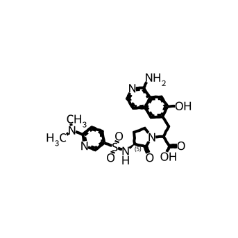 CN(C)c1ccc(S(=O)(=O)N[C@H]2CCN(C(Cc3cc4ccnc(N)c4cc3O)C(=O)O)C2=O)cn1